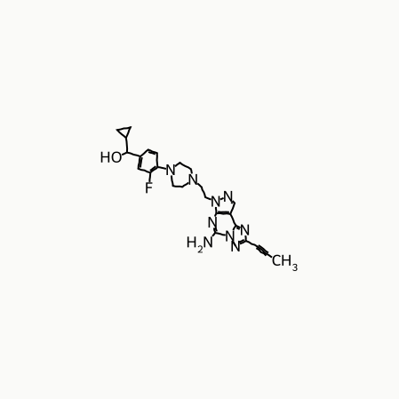 CC#Cc1nc2c3cnn(CCN4CCN(c5ccc(C(O)C6CC6)cc5F)CC4)c3nc(N)n2n1